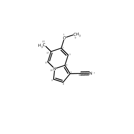 COc1cc2c(C#N)ccn2cc1C